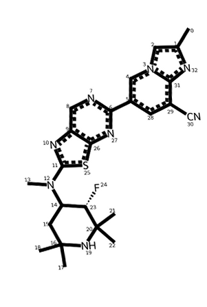 Cc1cn2cc(-c3ncc4nc(N(C)C5CC(C)(C)NC(C)(C)[C@H]5F)sc4n3)cc(C#N)c2n1